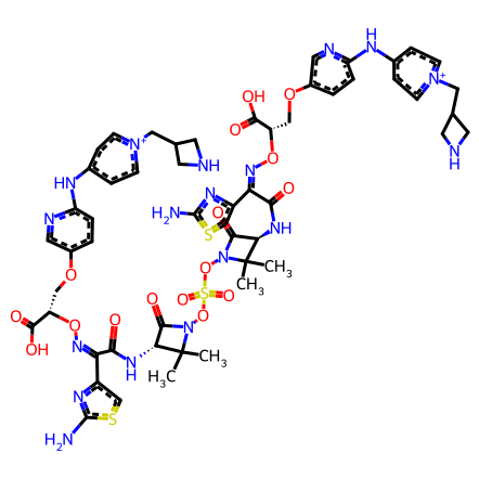 CC1(C)[C@H](NC(=O)/C(=N\O[C@@H](COc2ccc(Nc3cc[n+](CC4CNC4)cc3)nc2)C(=O)O)c2csc(N)n2)C(=O)N1OS(=O)(=O)ON1C(=O)[C@@H](NC(=O)/C(=N\O[C@@H](COc2ccc(Nc3cc[n+](CC4CNC4)cc3)nc2)C(=O)O)c2csc(N)n2)C1(C)C